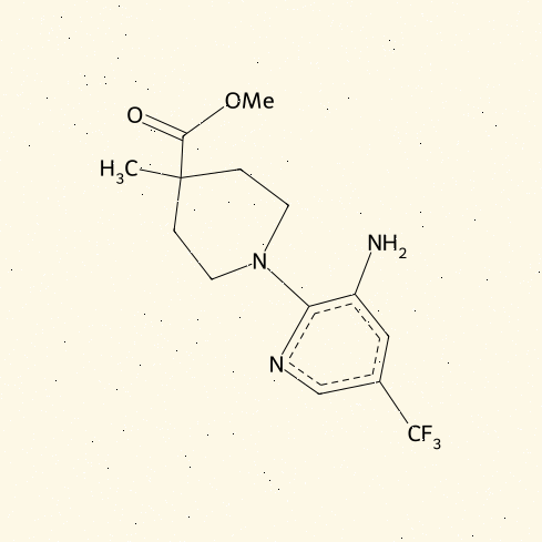 COC(=O)C1(C)CCN(c2ncc(C(F)(F)F)cc2N)CC1